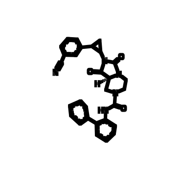 N#Cc1cccc(C2CC2N2C(=O)[C@@H]3CN(C(=O)Nc4ccccc4-c4ccccc4)CCN3C2=O)c1